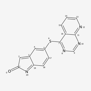 O=C1C=c2cc(Sc3ncnc4ncccc34)ccc2=N1